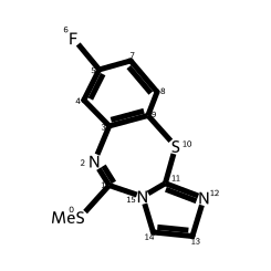 CSC1=Nc2cc(F)ccc2Sc2nccn21